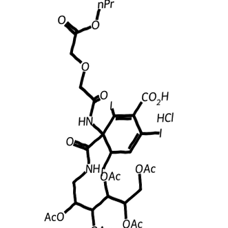 CCCOC(=O)COCC(=O)NC1(C(=O)NCC(OC(C)=O)C(OC(C)=O)C(OC(C)=O)C(COC(C)=O)OC(C)=O)C(I)=C(C(=O)O)C(I)=CC1I.Cl